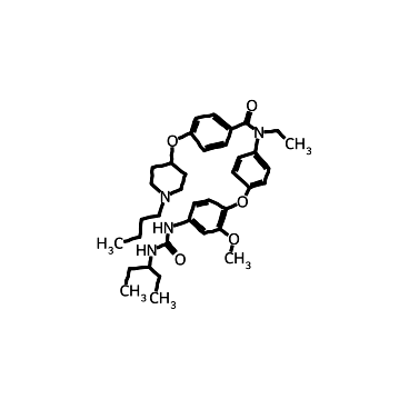 CCCCN1CCC(Oc2ccc(C(=O)N(CC)c3ccc(Oc4ccc(NC(=O)NC(CC)CC)cc4OC)cc3)cc2)CC1